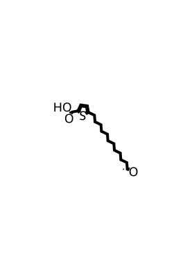 O=[C]CCCCCCCCCCCc1ccc(C(=O)O)s1